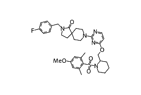 COc1cc(C)c(S(=O)(=O)N2CCCCC2COc2ccnc(N3CCC4(CCN(Cc5ccc(F)cc5)C4=O)CC3)n2)c(C)c1